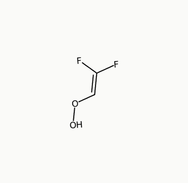 OOC=C(F)F